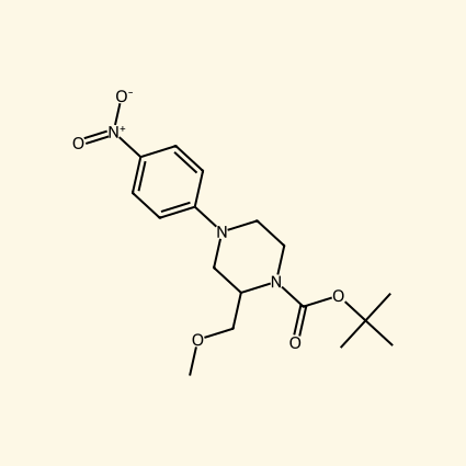 COCC1CN(c2ccc([N+](=O)[O-])cc2)CCN1C(=O)OC(C)(C)C